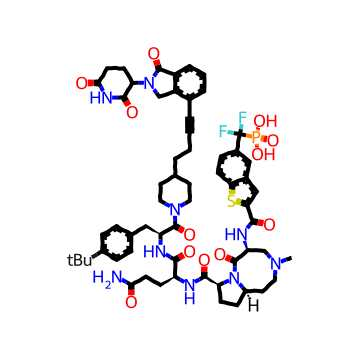 CN1CC[C@H]2CC[C@@H](C(=O)N[C@@H](CCC(N)=O)C(=O)N[C@@H](Cc3ccc(C(C)(C)C)cc3)C(=O)N3CCC(CCC#Cc4cccc5c4CN(C4CCC(=O)NC4=O)C5=O)CC3)N2C(=O)[C@@H](NC(=O)c2cc3cc(C(F)(F)P(=O)(O)O)ccc3s2)C1